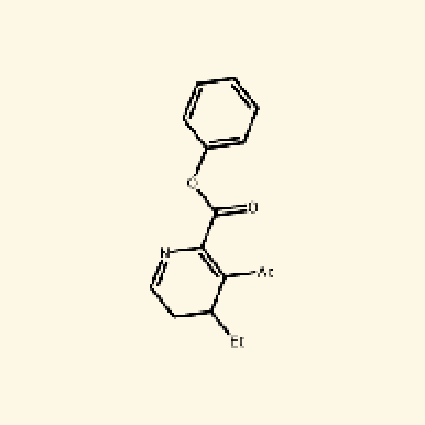 CCC1CC=NC(C(=O)Oc2ccccc2)=C1C(C)=O